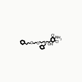 Nc1c(Cl)cc(C(O)CN(CCCOCCOCCCc2ccccc2)Cc2ccccc2)cc1Cl